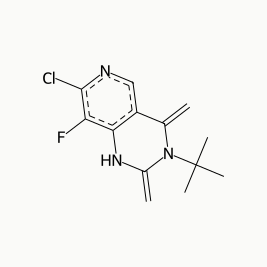 C=C1Nc2c(cnc(Cl)c2F)C(=C)N1C(C)(C)C